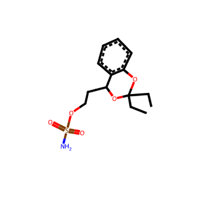 CCC1(CC)Oc2ccccc2C(CCOS(N)(=O)=O)O1